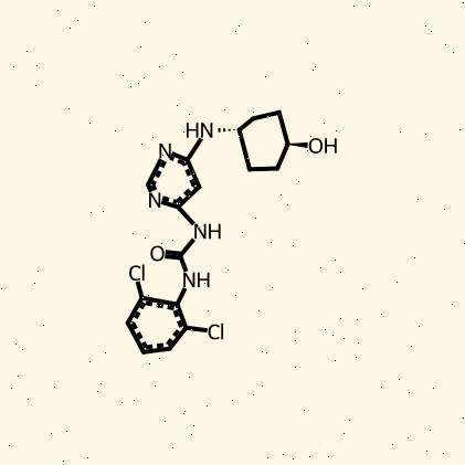 O=C(Nc1cc(N[C@H]2CC[C@H](O)CC2)ncn1)Nc1c(Cl)cccc1Cl